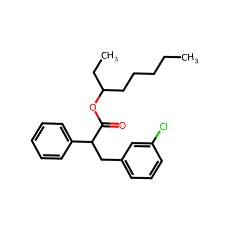 CCCCCC(CC)OC(=O)C(Cc1cccc(Cl)c1)c1ccccc1